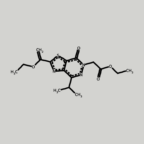 C=C(OCC)c1nc2c(C(C)C)nn(CC(=O)OCC)c(=O)c2s1